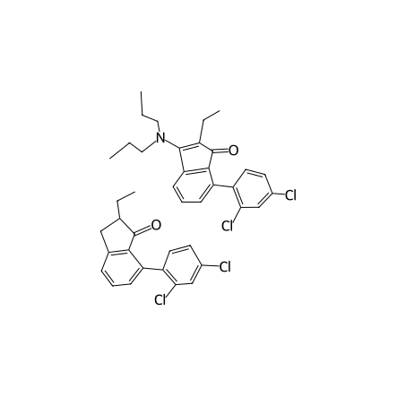 CCC1Cc2cccc(-c3ccc(Cl)cc3Cl)c2C1=O.CCCN(CCC)C1=C(CC)C(=O)c2c1cccc2-c1ccc(Cl)cc1Cl